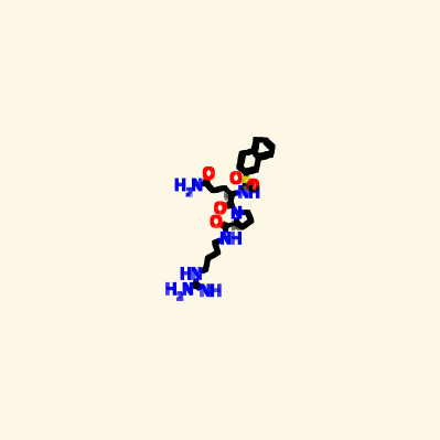 N=C(N)NCCCCNC(=O)[C@@H]1CCCN1C(=O)[C@@H](CCC(N)=O)NS(=O)(=O)c1ccc2ccccc2c1